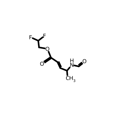 CC(/C=C/C(=O)OCC(F)F)NC=O